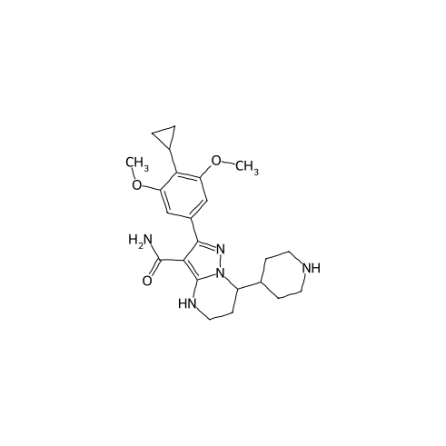 COc1cc(-c2nn3c(c2C(N)=O)NCCC3C2CCNCC2)cc(OC)c1C1CC1